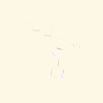 C=C/C(=C\C=C(/C)Cl)S(=O)(=O)c1nc(-c2cccnc2)sc1[S+]([O-])CCC